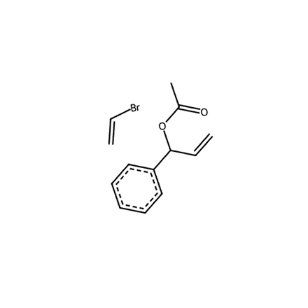 C=CBr.C=CC(OC(C)=O)c1ccccc1